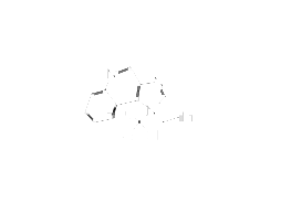 CC(C)C[N+]1(C(C)(C)O)C=Nc2cnc3ccccc3c21